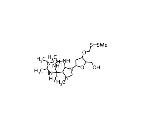 CSSCOC1CC(N2CN(C)C3C2NC(C)NC3(C)NC(C)N(C)C)OC1CO